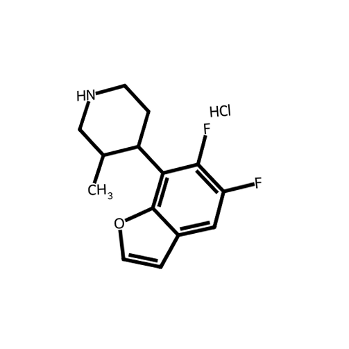 CC1CNCCC1c1c(F)c(F)cc2ccoc12.Cl